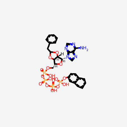 Nc1ncnc2c1ncn2[C@@H]1O[C@H](COP(=O)(O)OP(=O)(O)OP(=O)(O)OP(=O)(O)Oc2ccc3ccccc3c2)C2OC(Cc3ccccc3)O[C@@H]21